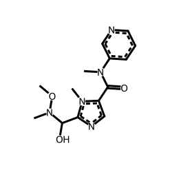 CON(C)C(O)c1ncc(C(=O)N(C)c2cccnc2)n1C